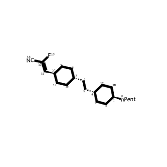 CCCCC[C@H]1CC[C@H](CC[C@H]2CC[C@H](C=C(F)C#N)CC2)CC1